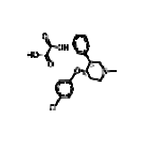 CN1CC[C@@H](Oc2ccc(Cl)cc2)[C@@H](c2ccccc2)C1.O=C(O)C(=O)O